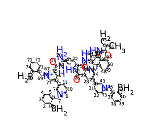 Bc1ccccc1C[n+]1cccc(-c2cc(C(=O)NC(N)=C=CC(NC(=O)c3cc(-c4ccc[n+](Cc5ccccc5B)c4)c[n+](Cc4ccccc4B)c3)C(=O)NCCCNC(=O)C(=C)C)c[n+](Cc3ccccc3B)c2)c1